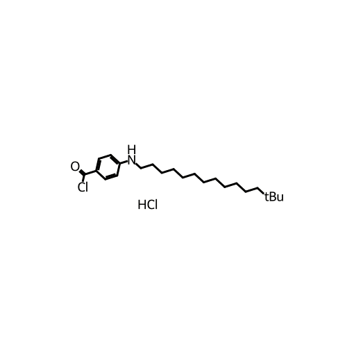 CC(C)(C)CCCCCCCCCCCCNc1ccc(C(=O)Cl)cc1.Cl